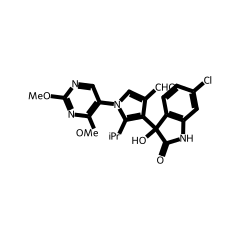 COc1ncc(-n2cc(C=O)c(C3(O)C(=O)Nc4cc(Cl)ccc43)c2C(C)C)c(OC)n1